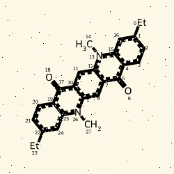 CCc1ccc2c(=O)c3cc4c(cc3n(C)c2c1)c(=O)c1ccc(CC)cc1n4C